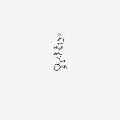 N#Cc1ccc2nc(-c3cc(C(=O)c4ccccc4C(F)(F)F)c[nH]3)[nH]c2c1